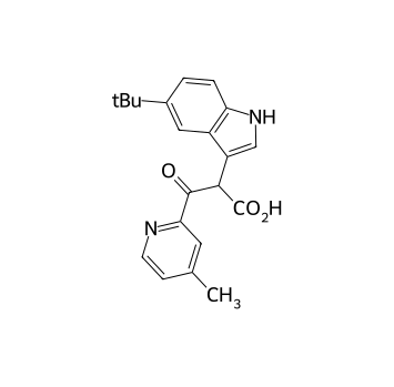 Cc1ccnc(C(=O)C(C(=O)O)c2c[nH]c3ccc(C(C)(C)C)cc23)c1